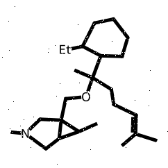 CCC1CCCCC1C(C)(CCC=C(C)C)OCC12CN(C)CC1C2C